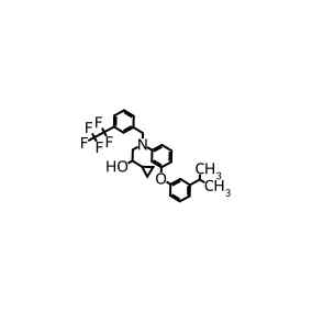 CC(C)c1cccc(Oc2cccc(N(Cc3cccc(C(F)(F)C(F)(F)F)c3)CC(O)C3CC3)c2)c1